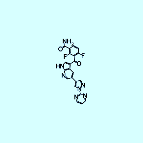 NC(=O)c1ccc(F)c(C(=O)c2c[nH]c3ncc(-c4cnn(-c5ncccn5)c4)cc23)c1F